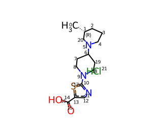 C[C@@H]1CCCN(C2CCN(c3ncc(C(=O)O)s3)CC2)C1.Cl